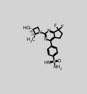 C[C@H]1[C@H](O)CN1c1nc(-c2ccc(S(=N)(N)=O)cc2)c2c(n1)C(F)(F)CC2